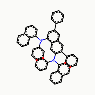 c1ccc(-c2cc(N(c3ccccc3)c3cccc4ccccc34)c3cc(N(c4ccccc4)c4cccc5ccccc45)c(-c4ccccc4)cc3c2)cc1